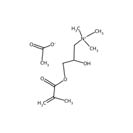 C=C(C)C(=O)OCC(O)C[N+](C)(C)C.CC(=O)[O-]